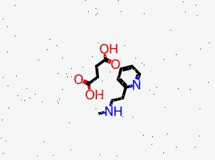 CNCCc1ccccn1.O=C(O)CCC(=O)O